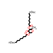 CCCCCCCCCCCCCCCCCC(=O)OC1=C(C)OCC(OC(=O)CCCCCCCCCCCCCCCCC)C1=O